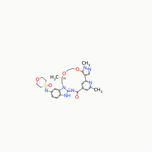 Cc1cc2cc(n1)-c1cnn(C)c1OCCO[C@@H](C)CN1/C(=N/C2=O)Nc2ccc(N=S3(=O)CCOCC3)cc21